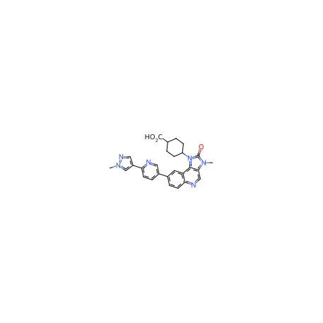 Cn1cc(-c2ccc(-c3ccc4ncc5c(c4c3)n(C3CCC(C(=O)O)CC3)c(=O)n5C)cn2)cn1